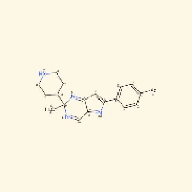 CC(=O)c1ccc(C2=CC3=NC(C)(C4CCNCC4)N=CC3=N2)cc1